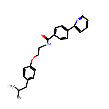 CCCC(Cc1ccc(OCCNC(=O)c2ccc(-c3ccccn3)cc2)cc1)C(=O)OCC